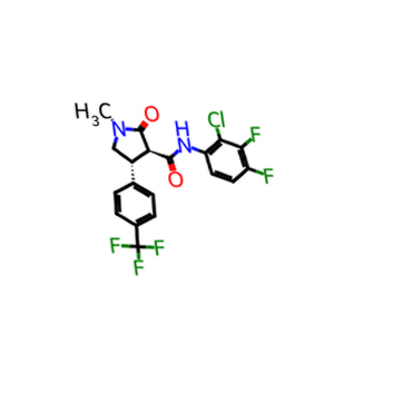 CN1C[C@@H](c2ccc(C(F)(F)F)cc2)[C@H](C(=O)Nc2ccc(F)c(F)c2Cl)C1=O